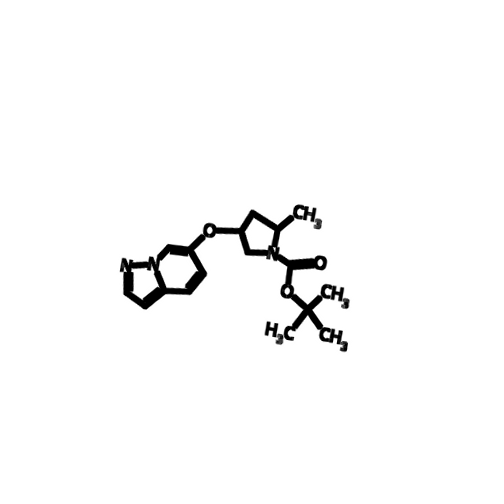 CC1CC(Oc2ccc3ccnn3c2)CN1C(=O)OC(C)(C)C